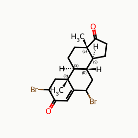 C[C@]12CC(Br)C(=O)C=C1C(Br)C[C@@H]1[C@@H]2CC[C@]2(C)C(=O)CC[C@@H]12